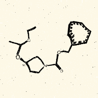 CCOC(C)O[C@@H]1CCN(C(=O)OCc2ccccc2)C1